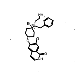 CC[C@]1([C@H](CCN)Cc2ccccc2)CC[C@H](Oc2cc3cc[nH]c(=O)c3cc2Cl)CC1